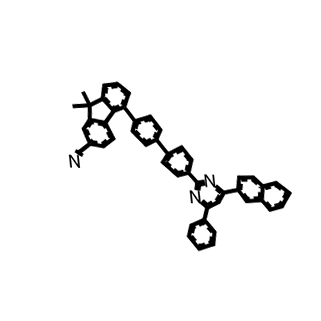 CC1(C)c2cc(C#N)ccc2-c2c(-c3ccc(-c4ccc(-c5nc(-c6ccccc6)cc(-c6ccc7ccccc7c6)n5)cc4)cc3)cccc21